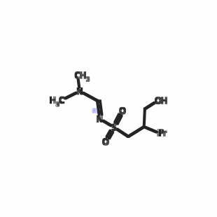 CC(C)C(CO)CS(=O)(=O)/N=C/N(C)C